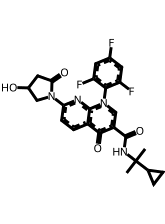 CC(C)(NC(=O)c1cn(-c2c(F)cc(F)cc2F)c2nc(N3CC(O)CC3=O)ccc2c1=O)C1CC1